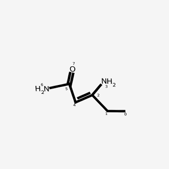 CCC(N)=CC(N)=O